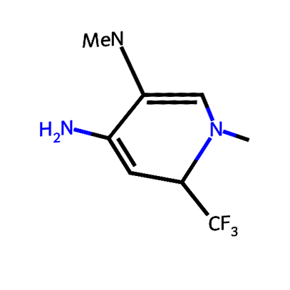 CNC1=CN(C)C(C(F)(F)F)C=C1N